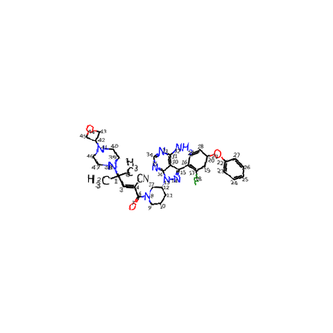 CC(C)(/C=C(\C#N)C(=O)N1CCC[C@@H](n2nc(C3=C(F)CC(Oc4ccccc4)C=C3)c3c(N)ncnc32)C1)N1CCN(C2COC2)CC1